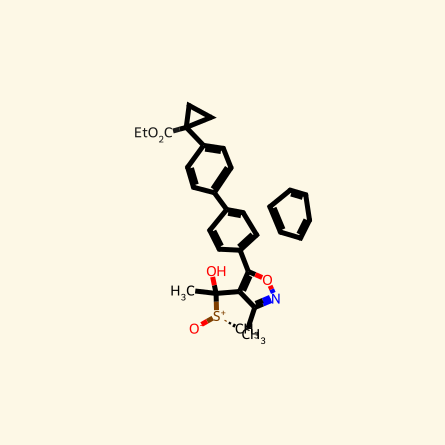 CCOC(=O)C1(c2ccc(-c3ccc(-c4onc(C)c4C(C)(O)[S@+](C)[O-])cc3)cc2)CC1.c1ccccc1